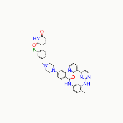 Cc1ccc(NC(=O)c2ccc(N3CCN(Cc4ccc(C5CCC(=O)NC5=O)c(F)c4)CC3)cc2)cc1Nc1nccc(-c2cccnc2)n1